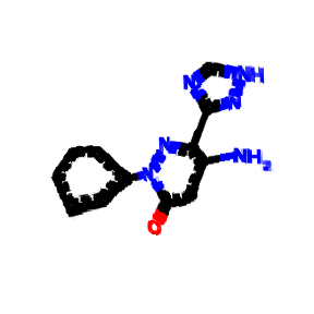 Nc1cc(=O)n(-c2ccccc2)nc1-c1nc[nH]n1